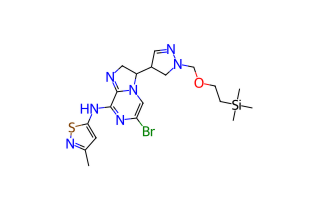 Cc1cc(NC2=NC(Br)=CN3C2=NCC3C2C=NN(COCC[Si](C)(C)C)C2)sn1